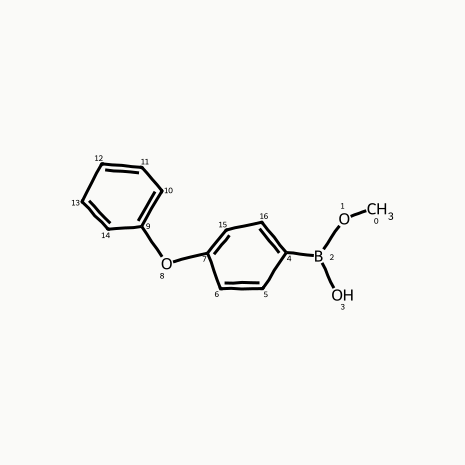 COB(O)c1ccc(Oc2ccccc2)cc1